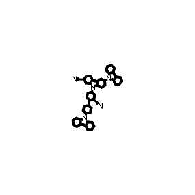 N#Cc1ccc2c3cc(-n4c5ccccc5c5ccccc54)ccc3n(-c3ccc(-c4ccc(-n5c6ccccc6c6ccccc65)cc4)c(C#N)c3)c2c1